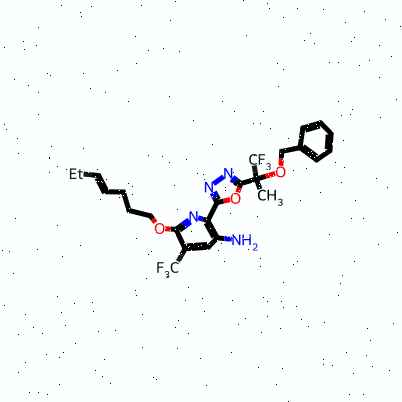 CC/C=C/CCCOc1nc(-c2nnc(C(C)(OCc3ccccc3)C(F)(F)F)o2)c(N)cc1C(F)(F)F